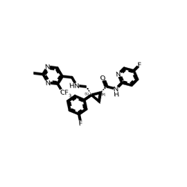 Cc1ncc(CNC[C@@]2(c3cccc(F)c3)C[C@H]2C(=O)Nc2ccc(F)cn2)c(C(F)(F)F)n1